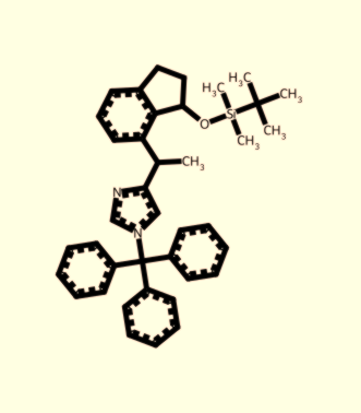 CC(c1cn(C(c2ccccc2)(c2ccccc2)c2ccccc2)cn1)c1cccc2c1C(O[Si](C)(C)C(C)(C)C)CC2